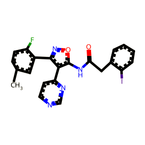 Cc1ccc(F)c(-c2noc(NC(=O)Cc3ccccc3I)c2-c2ccncn2)c1